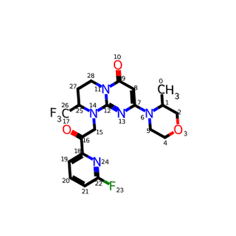 CC1COCCN1c1cc(=O)n2c(n1)N(CC(=O)c1cccc(F)n1)C(C(F)(F)F)CC2